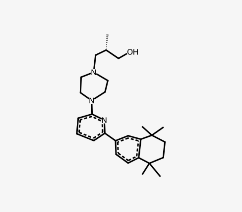 C[C@H](CO)CN1CCN(c2cccc(-c3ccc4c(c3)C(C)(C)CCC4(C)C)n2)CC1